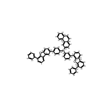 c1ccc(-c2cccc3c2oc2ccc(-c4ccc(N(c5cccc(-c6cccc7c6oc6c(-c8ccccc8)cccc67)c5)c5ccc6ccc7ccccc7c6c5)cc4)cc23)cc1